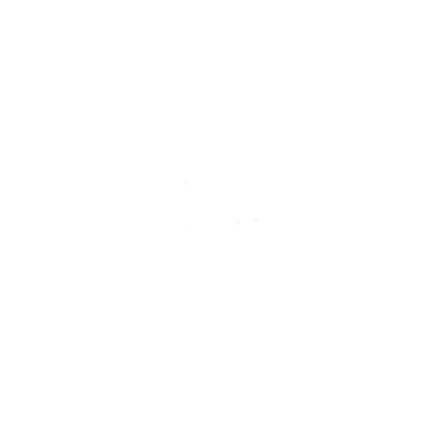 [O]=[Sb]([O-])([O-])[O-].[Rb+].[Rb+].[Rb+]